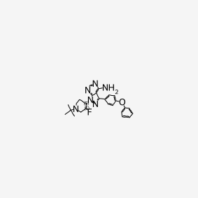 CC(C)(C)N1CC[C@H](n2nc(-c3ccc(Oc4ccccc4)cc3)c3c(N)ncnc32)[C@@H](F)C1